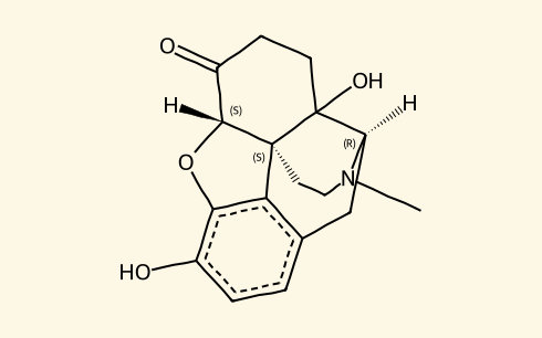 CN1CC[C@]23c4c5ccc(O)c4O[C@@H]2C(=O)CCC3(O)[C@H]1C5